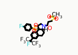 CS(=O)(=O)CCC(=O)N1CC[C@@]2(S(=O)(=O)c3ccc(F)cc3)c3ccc(C(F)(C(F)(F)F)C(F)(F)F)cc3CC[C@@H]12